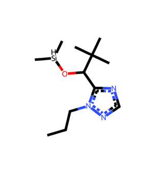 CCCn1ncnc1C(O[SiH](C)C)C(C)(C)C